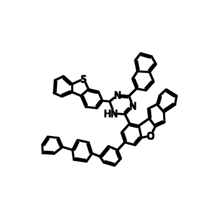 c1ccc(-c2ccc(-c3cccc(-c4cc(C5=NC(c6ccc7ccccc7c6)=NC(c6ccc7c(c6)sc6ccccc67)N5)c5c(c4)oc4cc6ccccc6cc45)c3)cc2)cc1